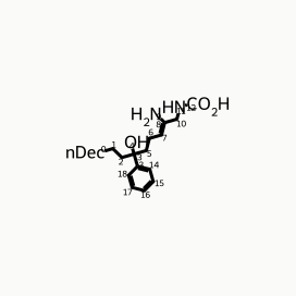 CCCCCCCCCCCCC(O)(CCC=C(N)CNC(=O)O)c1ccccc1